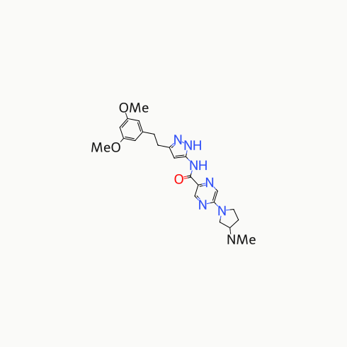 CNC1CCN(c2cnc(C(=O)Nc3cc(CCc4cc(OC)cc(OC)c4)n[nH]3)cn2)C1